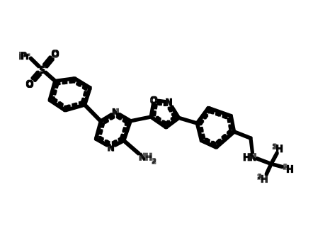 [2H]C([2H])([2H])NCc1ccc(-c2cc(-c3nc(-c4ccc(S(=O)(=O)C(C)C)cc4)cnc3N)on2)cc1